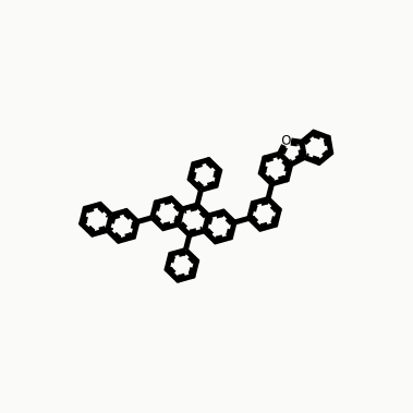 c1ccc(-c2c3ccc(-c4ccc5ccccc5c4)cc3c(-c3ccccc3)c3ccc(-c4cccc(-c5ccc6oc7ccccc7c6c5)c4)cc23)cc1